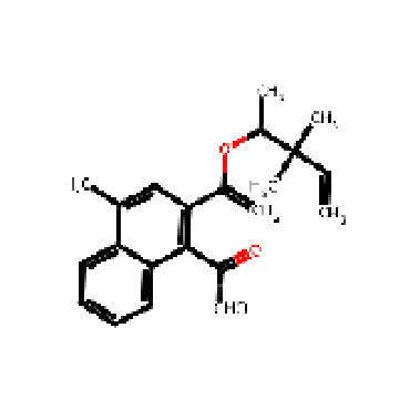 C=CC(C)(C)C(C)OC(=C)c1cc(C)c2ccccc2c1C(=O)C=O